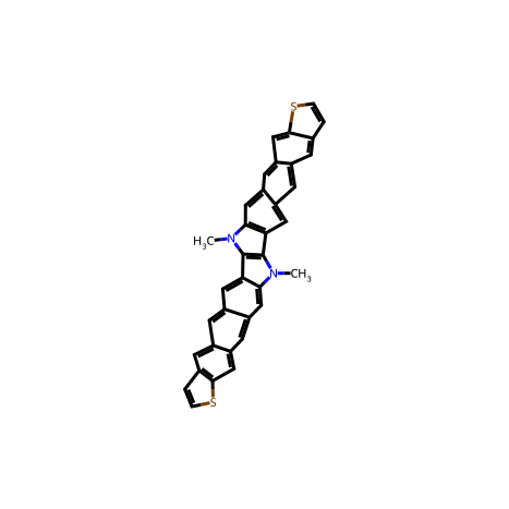 Cn1c2cc3cc4cc5sccc5cc4cc3cc2c2c1c1cc3cc4cc5ccsc5cc4cc3cc1n2C